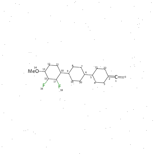 C=C=C1CCC(C2CCC(C3CCC(OC)C(F)C3F)CC2)CC1